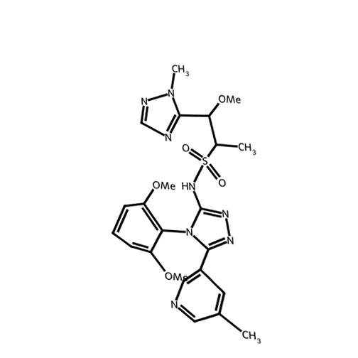 COc1cccc(OC)c1-n1c(NS(=O)(=O)C(C)C(OC)c2ncnn2C)nnc1-c1cncc(C)c1